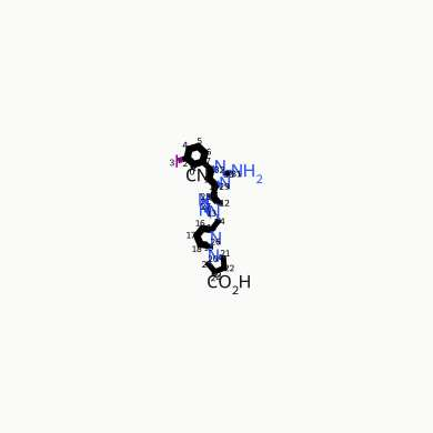 N#Cc1c(I)cccc1-c1cc(-c2cn(Cc3cccc(N4CCC(C(=O)O)C4)n3)nn2)nc(N)n1